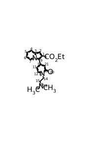 CCOC(=O)c1cc2ccccn2c1-c1ccn(CCN(C)C)c(=O)c1